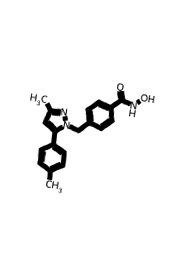 Cc1ccc(-c2cc(C)nn2Cc2ccc(C(=O)NO)cc2)cc1